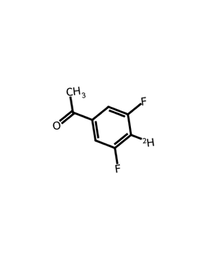 [2H]c1c(F)cc(C(C)=O)cc1F